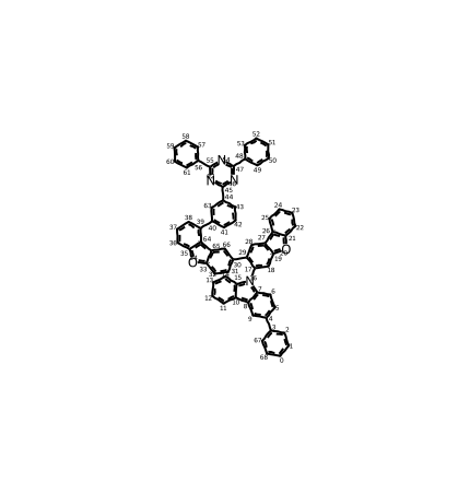 c1ccc(-c2ccc3c(c2)c2ccccc2n3-c2cc3oc4ccccc4c3cc2-c2ccc3oc4cccc(-c5cccc(-c6nc(-c7ccccc7)nc(-c7ccccc7)n6)c5)c4c3c2)cc1